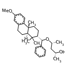 COc1ccc2c(c1)CC[C@@H]1C(C)(C)[C@@H](C(O[C@H](C)C[C@@H](C)O)c3ccccc3)CC[C@@]21C